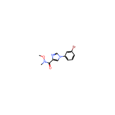 CON(C)C(=O)c1cn(-c2cccc(Br)c2)cn1